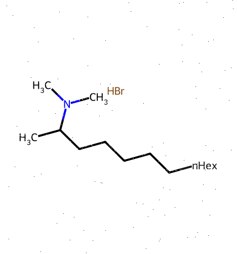 Br.CCCCCCCCCCCC(C)N(C)C